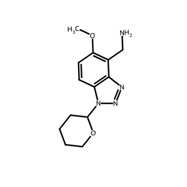 COc1ccc2c(nnn2C2CCCCO2)c1CN